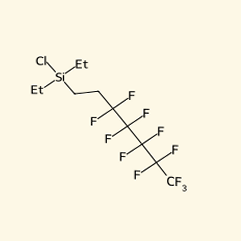 CC[Si](Cl)(CC)CCC(F)(F)C(F)(F)C(F)(F)C(F)(F)C(F)(F)F